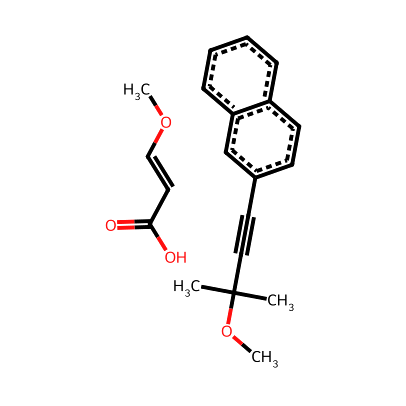 COC(C)(C)C#Cc1ccc2ccccc2c1.COC=CC(=O)O